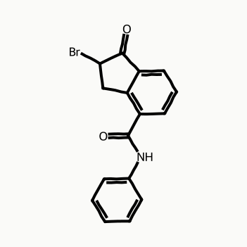 O=C(Nc1ccccc1)c1cccc2c1CC(Br)C2=O